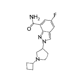 NC(=O)c1cc(F)cc2cn(C3CCN(C4CCC4)C3)nc12